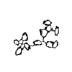 C1=CC2c3ccccc3N(c3ccccc3)C2C=C1N(c1ccc(-c2ccc3c(c2)C2(c4ccccc4-c4ccccc42)c2ccccc2-3)cc1)c1ccc2ccccc2c1